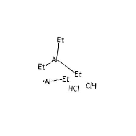 C[CH2][Al].C[CH2][Al]([CH2]C)[CH2]C.Cl.Cl